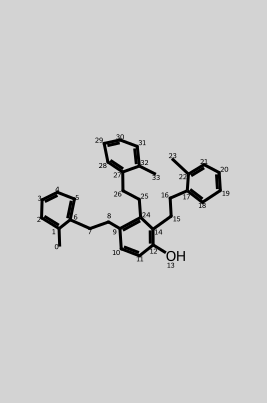 Cc1ccccc1CCc1ccc(O)c(CCc2ccccc2C)c1CCc1ccccc1C